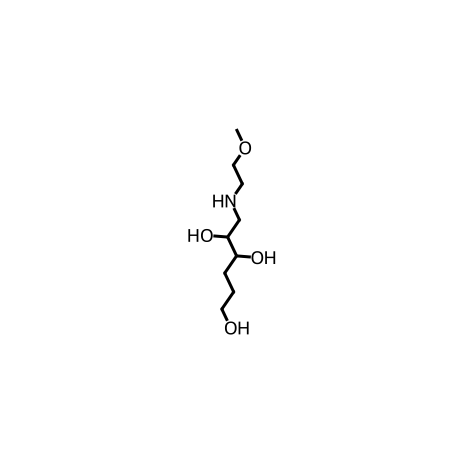 COCCNCC(O)C(O)CCCO